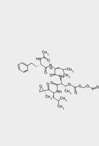 CC(=O)N[C@@H](CCc1ccccc1)C(=O)N[C@@H](CC(C)C)C(=O)N[C@H](C(=O)N[C@@H](CC(C)C)C(=O)[C@@]1(C)CO1)[C@@H](C)OC(=O)OCOP=O